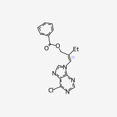 CC/C(=C/n1cnc2c(Cl)ncnc21)COC(=O)c1ccccc1